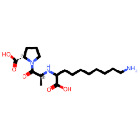 C[C@H](NC(CCCCCCCCN)C(=O)O)C(=O)N1CCC[C@H]1C(=O)O